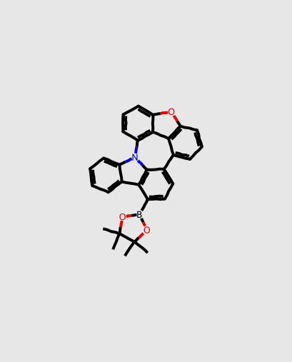 CC1(C)OB(c2ccc3c4cccc5oc6cccc(c6c54)n4c5ccccc5c2c34)OC1(C)C